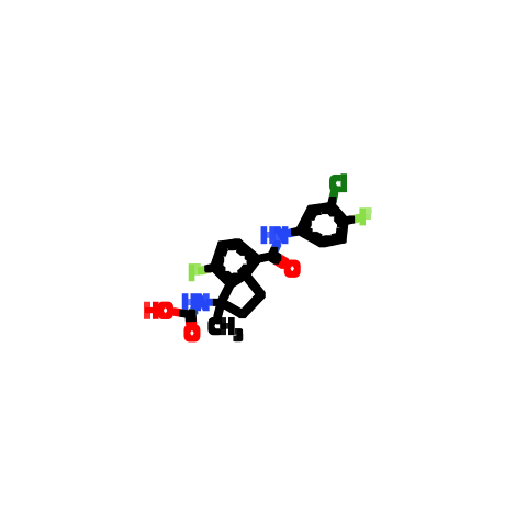 CC1(NC(=O)O)CCc2c(C(=O)Nc3ccc(F)c(Cl)c3)ccc(F)c21